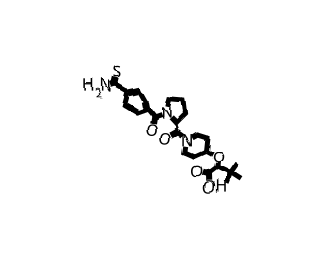 CC(C)(C)C(OC1CCN(C(=O)[C@@H]2CCCN2C(=O)c2ccc(C(N)=S)cc2)CC1)C(=O)O